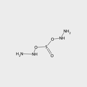 NNOS(=O)ONN